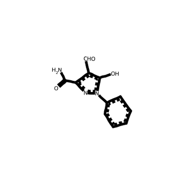 NC(=O)c1nn(-c2ccccc2)c(O)c1C=O